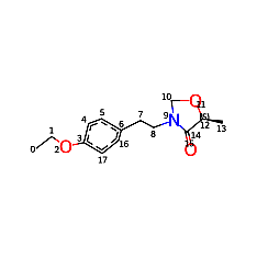 CCOc1ccc(CCN2CO[C@@H](C)C2=O)cc1